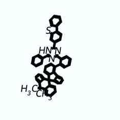 CC1(C)c2ccccc2C2(c3ccccc3-c3c(-c4ccccc4C4=NC(c5ccc6c(c5)sc5ccccc56)NC(c5ccccc5)=N4)cccc32)c2ccccc21